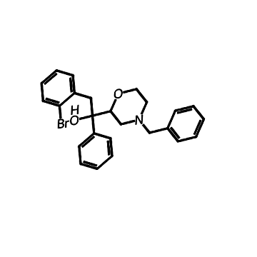 OC(Cc1ccccc1Br)(c1ccccc1)C1CN(Cc2ccccc2)CCO1